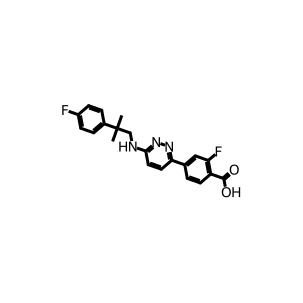 CC(C)(CNc1ccc(-c2ccc(C(=O)O)c(F)c2)nn1)c1ccc(F)cc1